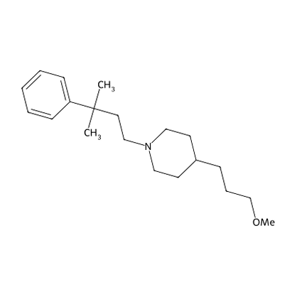 COCCCC1CCN(CCC(C)(C)c2ccccc2)CC1